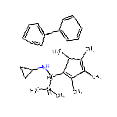 CC1=C(C)C(C)[C]([Hf]([NH]C2CC2)[SiH](C)C)=C1C.c1ccc(-c2ccccc2)cc1